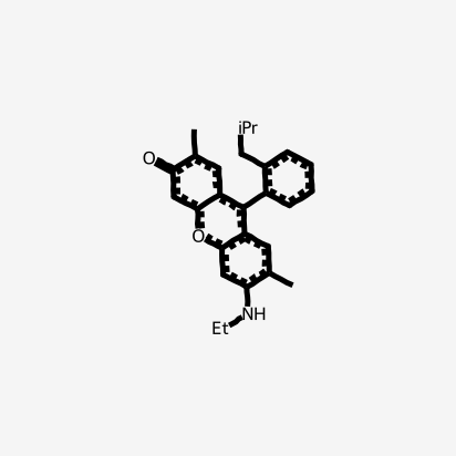 CCNc1cc2oc3cc(=O)c(C)cc-3c(-c3ccccc3CC(C)C)c2cc1C